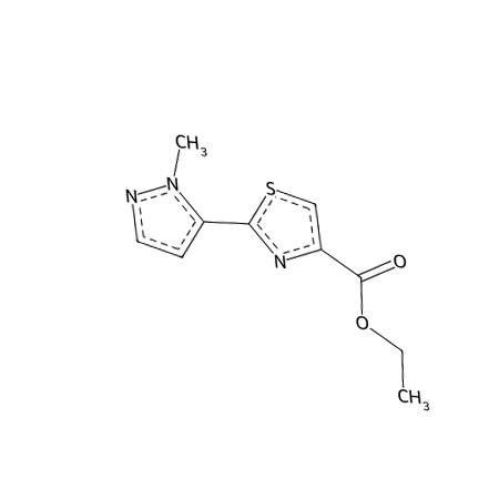 CCOC(=O)c1csc(-c2ccnn2C)n1